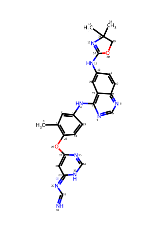 Cc1cc(Nc2ncnc3ccc(NC4=NC(C)(C)CO4)cc23)ccc1Oc1c/c(=N/C=N)[nH]cn1